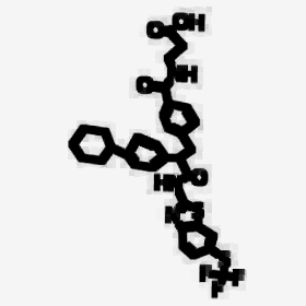 O=C(O)CCNC(=O)c1ccc(CC(C(=O)Nc2nc3ccc(SC(F)(F)F)cc3s2)c2ccc(C3CCCCC3)cc2)cc1